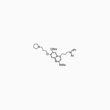 CCCN(CCCc1cc(NC)nc2cc(OCCCN3CCCC3)c(OC)cc12)C(C)=O